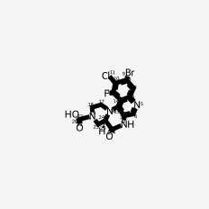 O=C1Nc2cnc3cc(Br)c(Cl)c(F)c3c2N2CCN(C(=O)O)C[C@H]12